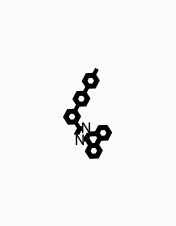 Cc1ccc(-c2ccc(-c3cccc(-c4cnc5c6ccccc6c6ccccc6c5n4)c3)cc2)cc1